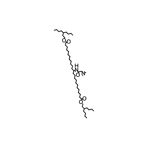 CCCCC(CCCC)CCOC(=O)CCCCCCCCCCCC(CCCCCCCCCCCC(=O)OCCC(CCCC)CCCC)NC(=O)CN(C)C